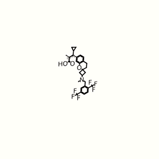 C[C@H](C(=O)O)[C@H](c1ccc2c(c1)OC1(CC2)CC(N(C)Cc2cc(C(F)(F)F)ccc2C(F)(F)F)C1)C1CC1